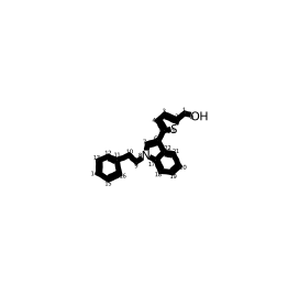 OCc1ccc(-c2cn(CCc3ccccc3)c3ccccc23)s1